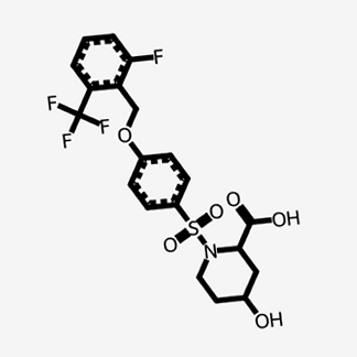 O=C(O)C1CC(O)CCN1S(=O)(=O)c1ccc(OCc2c(F)cccc2C(F)(F)F)cc1